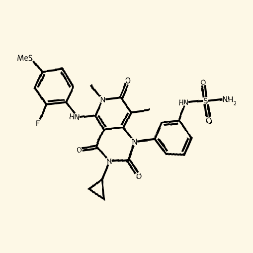 CSc1ccc(Nc2c3c(=O)n(C4CC4)c(=O)n(-c4cccc(NS(N)(=O)=O)c4)c3c(C)c(=O)n2C)c(F)c1